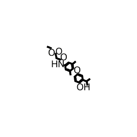 CCOC(=O)CC(=O)Nc1cc(C)c(Oc2ccc(O)c(C(C)C)c2)c(C)c1